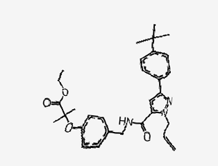 C=CCn1nc(-c2ccc(C(C)(C)C)cc2)cc1C(=O)NCc1ccc(OC(C)(C)C(=O)OCC)cc1